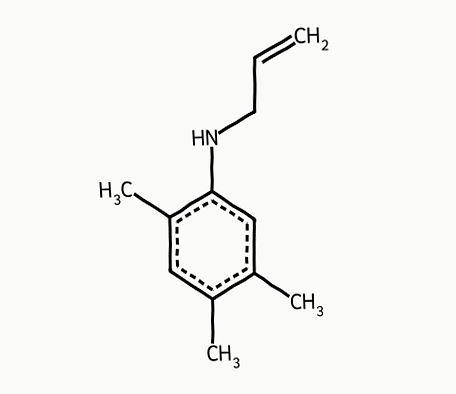 C=CCNc1cc(C)c(C)cc1C